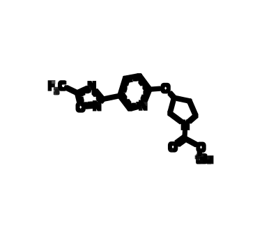 CC(C)(C)OC(=O)N1CCC(Oc2ccc(-c3noc(C(F)(F)F)n3)cn2)C1